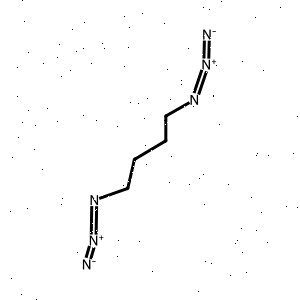 [N-]=[N+]=NCCCCN=[N+]=[N-]